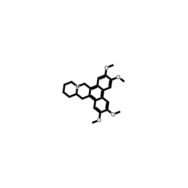 COc1cc2c3c(c4cc(OC)c(OC)cc4c2cc1OC)CN1CCCCC1C3